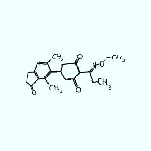 CCON=C(CC)C1C(=O)CC(c2c(C)cc3c(c2C)C(=O)CC3)CC1=O